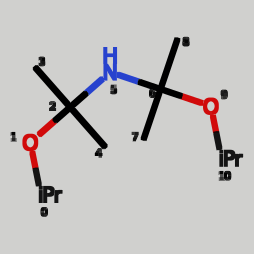 CC(C)OC(C)(C)NC(C)(C)OC(C)C